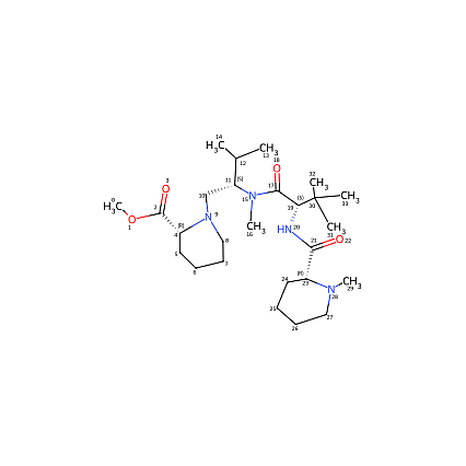 COC(=O)[C@H]1CCCCN1C[C@H](C(C)C)N(C)C(=O)[C@@H](NC(=O)[C@H]1CCCCN1C)C(C)(C)C